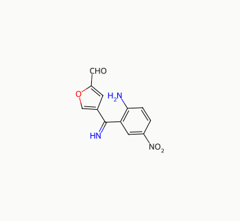 N=C(c1coc(C=O)c1)c1cc([N+](=O)[O-])ccc1N